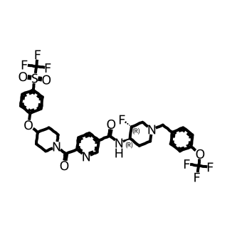 O=C(N[C@@H]1CCN(Cc2ccc(OC(F)(F)F)cc2)C[C@H]1F)c1ccc(C(=O)N2CCC(Oc3ccc(S(=O)(=O)C(F)(F)F)cc3)CC2)nc1